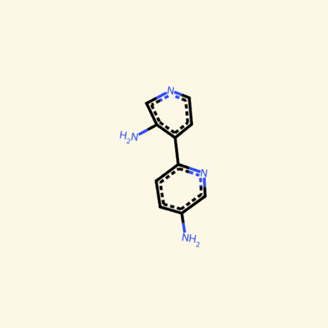 Nc1ccc(-c2ccncc2N)nc1